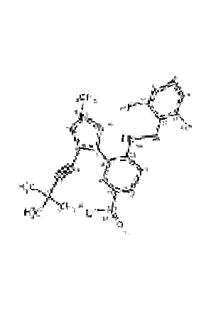 Cn1cc(C#CC(C)(C)C)c(-c2cc([N+](=O)[O-])ccc2NCc2c(F)cccc2F)n1